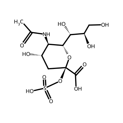 CC(=O)N[C@H]1[C@H]([C@H](O)[C@H](O)CO)O[C@](OS(=O)(=O)O)(C(=O)O)C[C@@H]1O